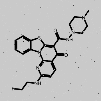 CN1CCN(NC(=O)c2c(=O)c3ccc(NCCF)nc3n3c2sc2ccccc23)CC1